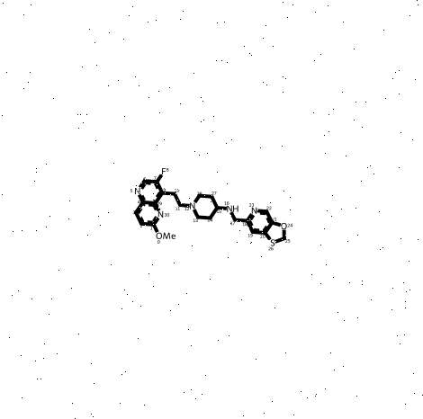 COc1ccc2ncc(F)c(CCN3CCC(NCc4cc5c(cn4)OCS5)CC3)c2n1